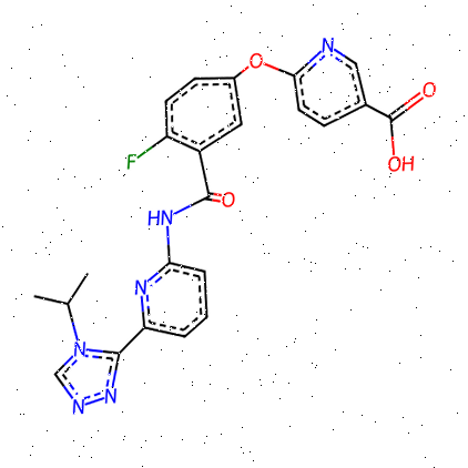 CC(C)n1cnnc1-c1cccc(NC(=O)c2cc(Oc3ccc(C(=O)O)cn3)ccc2F)n1